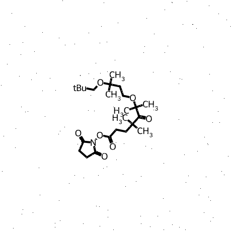 CC(C)(C)COC(C)(C)CCOC(C)(C)C(=O)C(C)(C)CCC(=O)ON1C(=O)CCC1=O